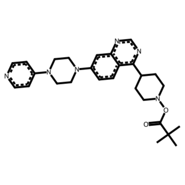 CC(C)(C)C(=O)ON1CCC(c2ncnc3cc(N4CCN(c5ccncc5)CC4)ccc23)CC1